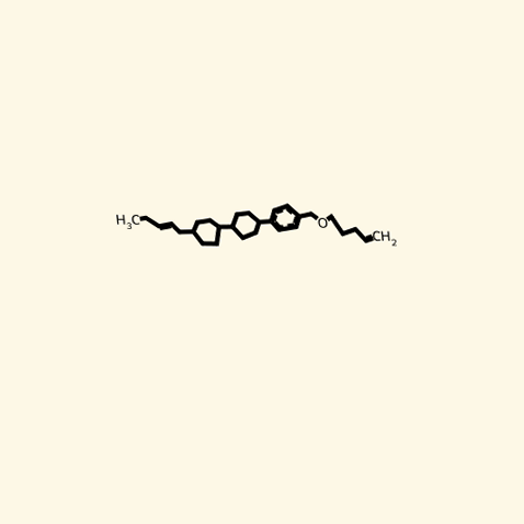 C=CCCCOCc1ccc(C2CCC(C3CCC(CC=CCC)CC3)CC2)cc1